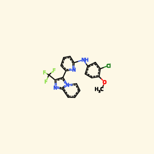 COc1ccc(Nc2cccc(-c3c(C(F)(F)F)nc4ccccn34)n2)cc1Cl